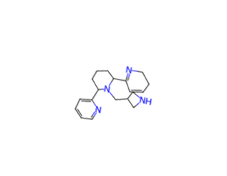 C1=CC(C2CCCC(c3ccccn3)N2CC2CNC2)=NCC1